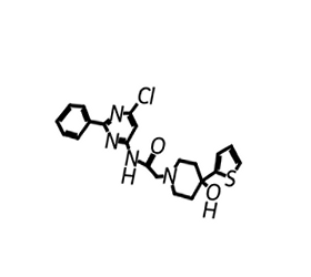 O=C(CN1CCC(O)(c2cccs2)CC1)Nc1cc(Cl)nc(-c2ccccc2)n1